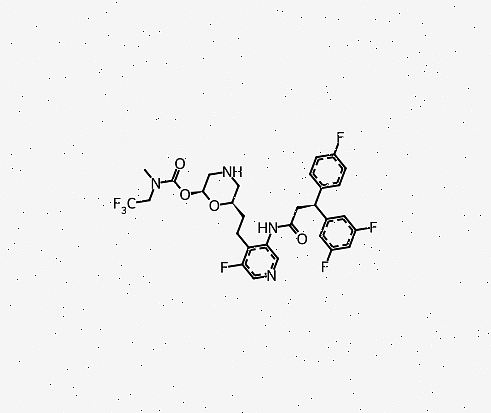 CN(CC(F)(F)F)C(=O)O[C@H]1CNC[C@@H](CCc2c(F)cncc2NC(=O)C[C@@H](c2ccc(F)cc2)c2cc(F)cc(F)c2)O1